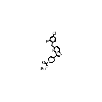 CC(C)(C)OC(=O)N1CC=C(c2cnc3ccc(Cc4ccc(Cl)cc4F)nn23)CC1